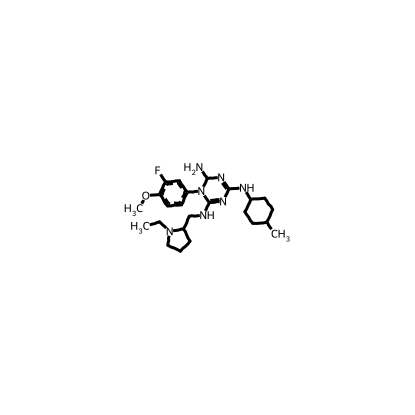 CCN1CCCC1CNC1=NC(NC2CCC(C)CC2)=NC(N)N1c1ccc(OC)c(F)c1